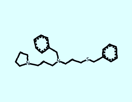 c1ccc(CSCCCN(CCCN2CCCC2)Cc2ccccc2)cc1